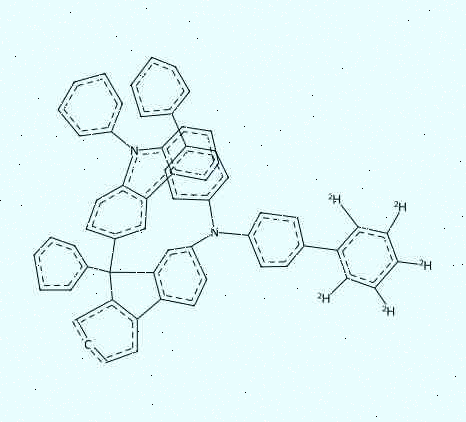 [2H]c1c([2H])c([2H])c(-c2ccc(N(c3ccc(-c4ccccc4)cc3)c3ccc4c(c3)C(c3ccccc3)(c3ccc5c(c3)c3ccccc3n5-c3ccccc3)c3ccccc3-4)cc2)c([2H])c1[2H]